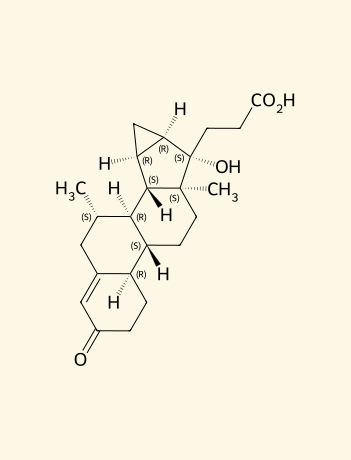 C[C@H]1CC2=CC(=O)CC[C@@H]2[C@H]2CC[C@@]3(C)[C@@H]([C@H]4C[C@H]4[C@@]3(O)CCC(=O)O)[C@@H]21